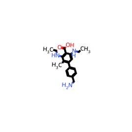 CCNc1cc(-c2ccc(CN)cc2)c(C)c(NCC)c1C(=O)O